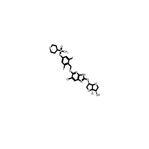 CS(=O)(=Nc1cc(F)c(COc2nc3[nH]c(O[C@@H]4CO[C@H]5C4OC[C@H]5O)nc3cc2Cl)c(F)c1)C1CCOCC1